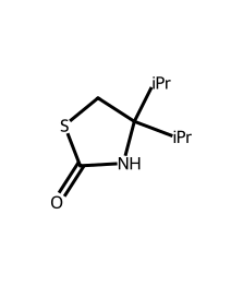 CC(C)C1(C(C)C)CSC(=O)N1